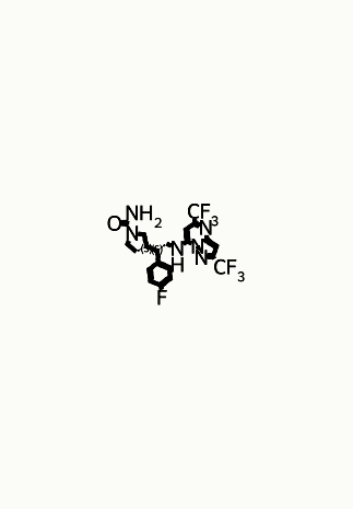 NC(=O)N1CC[C@@H]([C@H](CNc2cc(C(F)(F)F)nc3cc(C(F)(F)F)nn23)c2ccc(F)cc2)C1